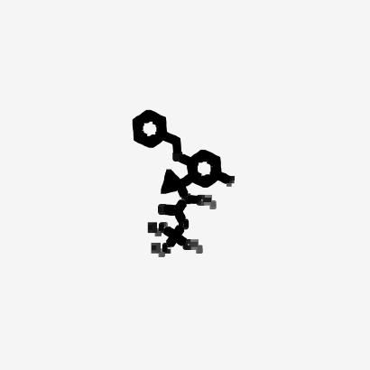 CN(C(=O)OC(C)(C)C)C1(c2cc(F)ccc2OCc2ccccc2)CC1